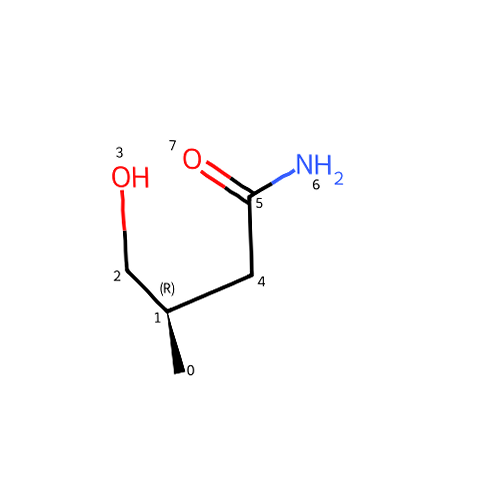 C[C@@H](CO)CC(N)=O